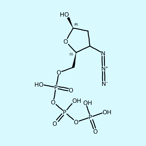 [N-]=[N+]=NC1C[C@H](O)O[C@@H]1COP(=O)(O)OP(=O)(O)OP(=O)(O)O